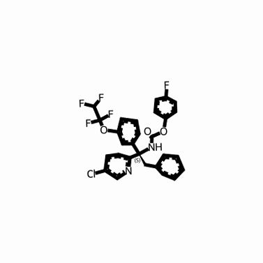 O=C(N[C@@](Cc1ccccc1)(c1cccc(OC(F)(F)C(F)F)c1)c1ccc(Cl)cn1)Oc1ccc(F)cc1